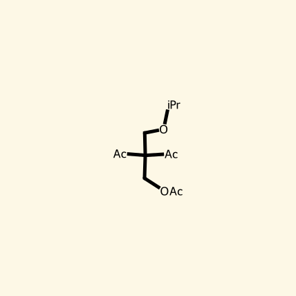 CC(=O)OCC(COC(C)C)(C(C)=O)C(C)=O